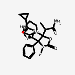 CC(C(N)=O)C1(N2CCNCC2)OC(=O)N(F)C1(c1ccccc1)c1nnc(C2CC2)s1